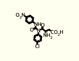 N[C@@H](CC(=O)O)C(=O)N(C(=O)Nc1ccc([N+](=O)[O-])cc1)c1ccc(Cl)cc1